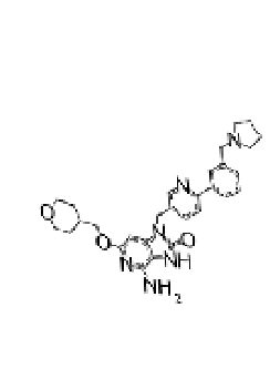 Nc1nc(OCC2CCOCC2)cc2c1[nH]c(=O)n2Cc1ccc(-c2cccc(CN3CCCC3)c2)nc1